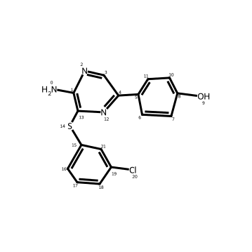 Nc1ncc(-c2ccc(O)cc2)nc1Sc1cccc(Cl)c1